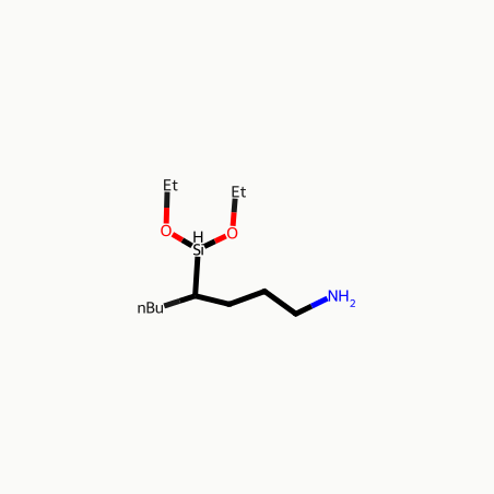 CCCCC(CCCN)[SiH](OCC)OCC